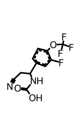 N#CCC(NC(=O)O)c1ccc(OC(F)(F)F)c(F)c1